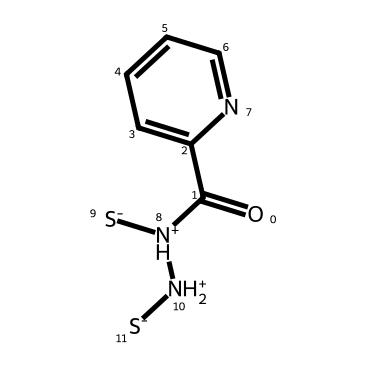 O=C(c1ccccn1)[NH+]([S-])[NH2+][S-]